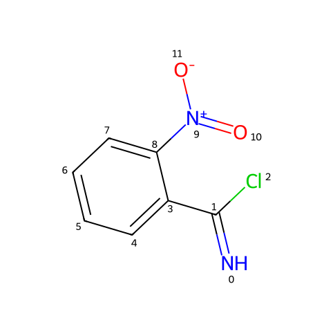 N=C(Cl)c1ccccc1[N+](=O)[O-]